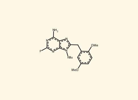 CCCCn1c(Cc2cc(OC)ccc2OC)nc2c(N)nc(F)nc21